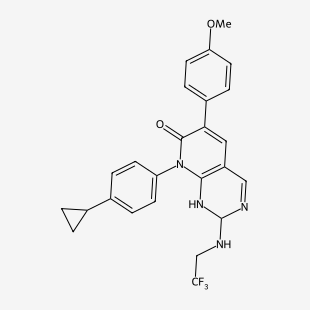 COc1ccc(-c2cc3c(n(-c4ccc(C5CC5)cc4)c2=O)NC(NCC(F)(F)F)N=C3)cc1